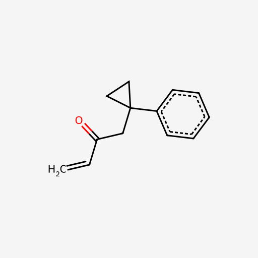 C=CC(=O)CC1(c2ccccc2)CC1